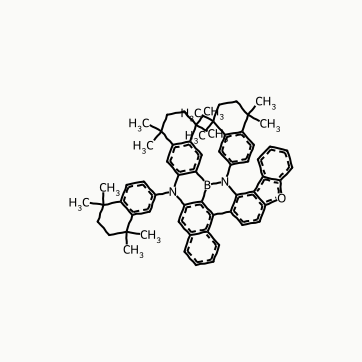 CC1(C)CCC(C)(C)c2cc(N3B4c5cc6c(cc5N(c5ccc7c(c5)C(C)(C)CCC7(C)C)c5cc7ccccc7c(c54)-c4ccc5oc7ccccc7c5c43)C(C)(C)CCC6(C)C)ccc21